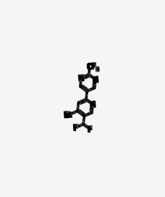 CCc1cc(-c2cnc(C(F)(F)F)nc2)ncc1C(F)F